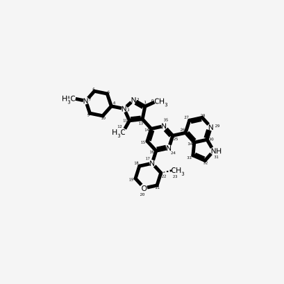 Cc1nn(C2CCN(C)CC2)c(C)c1-c1cc(N2CCOC[C@H]2C)nc(-c2ccnc3[nH]ccc23)n1